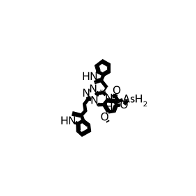 COc1ccc(Cn2c(CCc3c[nH]c4ccccc34)nnc2[C@@H](Cc2c[nH]c3ccccc23)NC(=O)C[AsH2])c(OC)c1